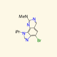 CNc1ncc2cc(Br)c3ncn(C(C)C)c3c2n1